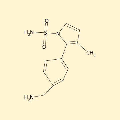 Cc1ccn(S(N)(=O)=O)c1-c1ccc(CN)cc1